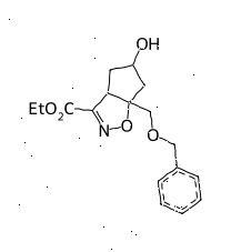 CCOC(=O)C1=NOC2(COCc3ccccc3)CC(O)CC12